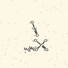 O=P([O-])([O-])[O-].[Mg+2].[Mg+2].[O]=[Al][O-]